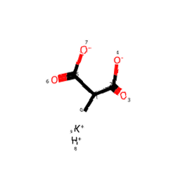 CC(C(=O)[O-])C(=O)[O-].[H+].[K+]